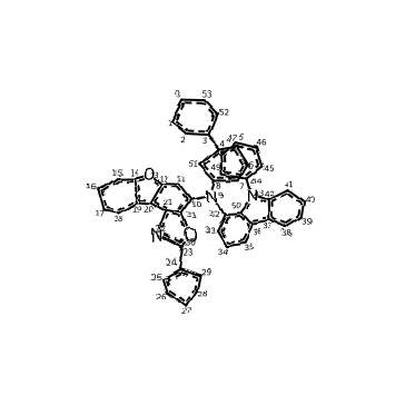 c1ccc(-c2cccc(N(c3cc4oc5ccccc5c4c4nc(-c5ccccc5)oc34)c3cccc4c5ccccc5n(-c5ccccc5)c34)c2)cc1